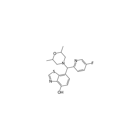 CC1CN(C(c2ccc(F)cn2)c2ccc(O)c3ncsc23)CC(C)O1